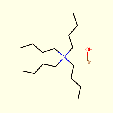 CCCC[N+](CCCC)(CCCC)CCCC.OBr